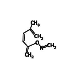 C=NOC(=C)/C=C\C(=C)C